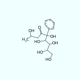 CC(O)CC(=O)C(O)(c1ccccc1)C(O)C(O)C(O)CO